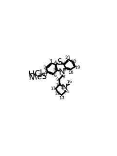 CSc1ccc2c(c1)N(CCC1CCCCN1C)c1ccccc1S2.Cl